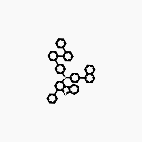 c1ccc(-c2ccccc2-c2ccccc2-c2ccc(N(c3ccc(-c4cccc5ccccc45)cc3)c3ccc(-c4ccccc4)c4oc5ccccc5c34)cc2)cc1